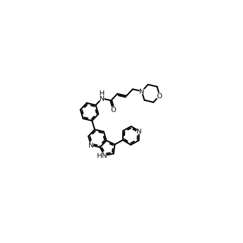 O=C(C=CCN1CCOCC1)Nc1cccc(-c2cnc3[nH]cc(-c4ccncc4)c3c2)c1